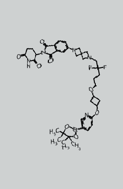 CC1(C)OB(c2ccc(OC3CC(OCCCC(F)(F)CN4CC5(C4)CN(c4ccc6c(c4)C(=O)N(C4CCC(=O)NC4=O)C6=O)C5)C3)nc2)OC1(C)C